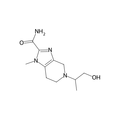 CC(CO)N1CCc2c(nc(C(N)=O)n2C)C1